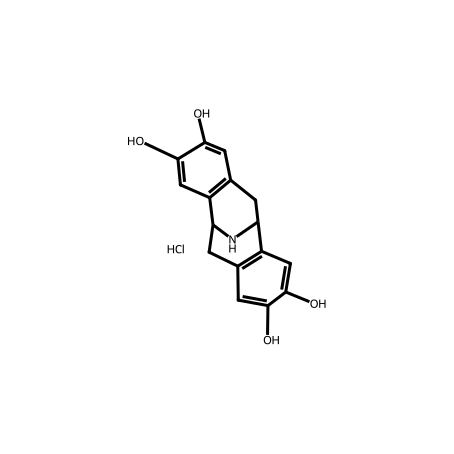 Cl.Oc1cc2c(cc1O)C1Cc3cc(O)c(O)cc3C(C2)N1